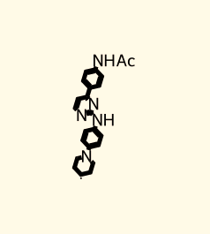 CC(=O)Nc1ccc(-c2ccnc(Nc3ccc(N4CC[CH]CC4)cc3)n2)cc1